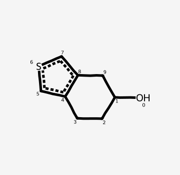 OC1CCc2cscc2C1